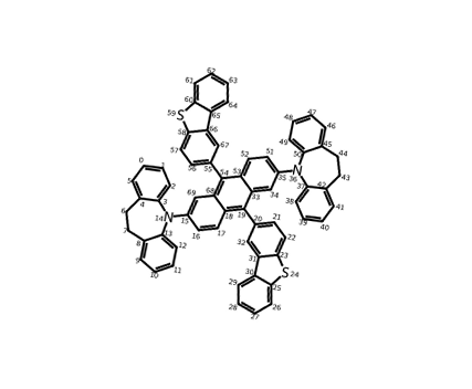 c1ccc2c(c1)CCc1ccccc1N2c1ccc2c(-c3ccc4sc5ccccc5c4c3)c3cc(N4c5ccccc5CCc5ccccc54)ccc3c(-c3ccc4sc5ccccc5c4c3)c2c1